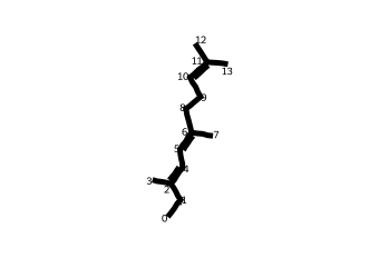 C[CH]/C(C)=C/C=C(\C)CCC=C(C)C